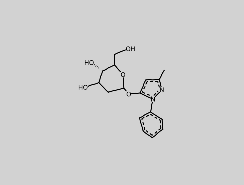 Cc1cc(OC2CC(O)[C@H](O)C(CO)O2)n(-c2ccccc2)n1